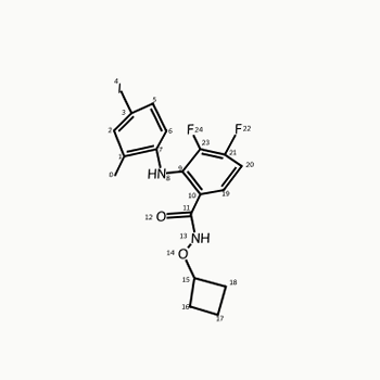 Cc1cc(I)ccc1Nc1c(C(=O)NOC2CCC2)ccc(F)c1F